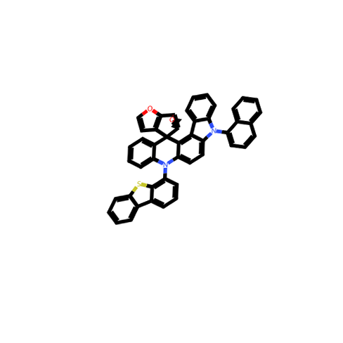 c1ccc2c(c1)N(c1cccc3c1sc1ccccc13)c1ccc3c(c1C21c2ccoc2-c2occc21)c1ccccc1n3-c1cccc2ccccc12